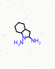 NC1CC2CCCCC2N1N